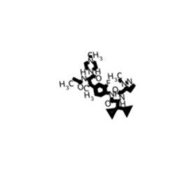 CCC(=O)N[C@@H](C(O)N1CCN(C)CC1)[C@@H](C)c1ccc(NC(=O)[C@@H](NC(=O)c2ccnn2CC)C(C2CC2)C2CC2)c(F)c1